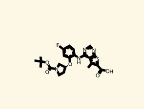 Cc1c(C(=O)O)sc2ncnc(Nc3ccc(F)cc3O[C@@H]3CCN(C(=O)OC(C)(C)C)C3)c12